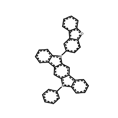 c1ccc(-n2c3ccccc3c3cc4c(cc32)c2ccccc2n4-c2ccc3oc4ccccc4c3c2)cc1